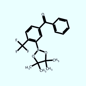 CC1(C)OB(c2cc(C(=O)c3ccccc3)ccc2C(F)(F)F)OC1(C)C